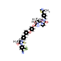 Cc1ncsc1-c1ccc(CNC(=O)[C@@H]2CCCN2C(=O)C(NC(=O)COc2ccc(Oc3cccc(-c4ccc(N5C(=S)N(c6ccc(C#N)c(C(F)(F)F)c6)C(=O)C5(C)C)cc4)c3)cc2)C(C)(C)C)cc1